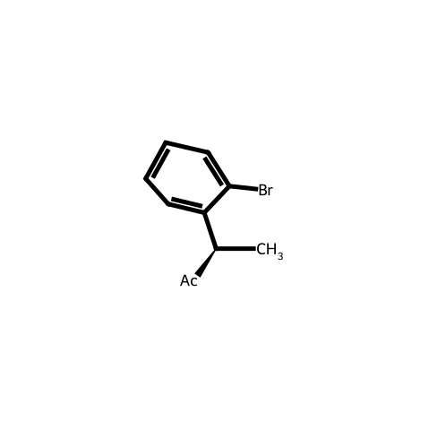 CC(=O)[C@H](C)c1ccccc1Br